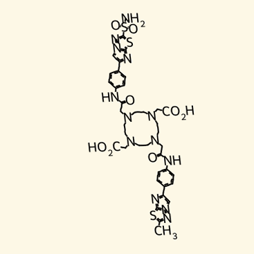 Cc1nn2cc(-c3ccc(NC(=O)CN4CCN(CC(=O)O)CCN(CC(=O)Nc5ccc(-c6cn7nc(S(N)(=O)=O)sc7n6)cc5)CCN(CC(=O)O)CC4)cc3)nc2s1